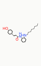 CCCCCCCCNc1ccccc1NC(=O)C=Cc1ccc(O)cc1